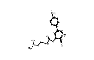 CN(C)CCNC(=O)Cc1cc(-c2ccc(C(=O)O)cc2)c[nH]c1=O